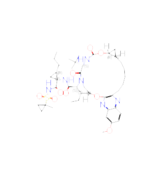 CCC[C@@H]1C[C@]1(NC(=O)[C@@H]1[C@H](CC)[C@@H]2CN1C(=O)[C@H](C(C)(C)C)NC(=O)O[C@@H]1C[C@H]1CCCCCc1nc3ccc(OC)cc3nc1O2)C(=O)NS(=O)(=O)C1(C)CC1